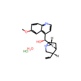 C=C[C@@H]1CN2CCC1C[C@H]2[C@@H](O)c1ccnc2ccc(OC)cc12.Cl.O